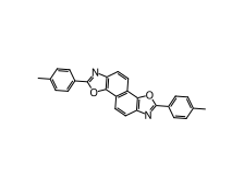 Cc1ccc(-c2nc3ccc4c(ccc5nc(-c6ccc(C)cc6)oc54)c3o2)cc1